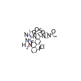 C=CC(=O)N1CCN(c2c(S(C)(=O)=O)c(=O)n(C(/C(=N\C)C(C)C)=C(/N=C)C(C)C)c3c(F)c(-c4c(N)cccc4F)c(Cl)cc23)CC1